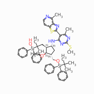 CO[C@@H]1[C@@H](CO[Si](c2ccccc2)(c2ccccc2)C(C)(C)C)C[C@@H](Nc2nc(SC)nc(C)c2-c2nc3c(C)nccc3s2)[C@@H]1CC(C)(C)[Si](O)(c1ccccc1)c1ccccc1